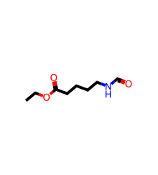 CCOC(=O)CCCCNC=O